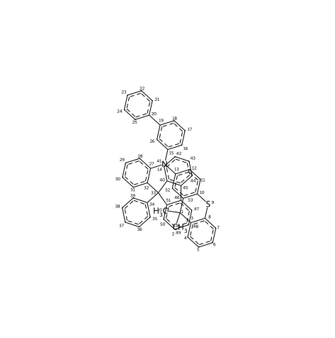 CC1(C)c2ccccc2Sc2ccc(N(c3cccc(-c4ccccc4)c3)c3ccccc3C3(c4ccccc4)c4ccccc4-c4ccccc43)cc21